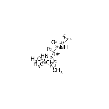 CCCC(NC(C)(C)C)C(F)(F)C(=O)NC1CC1